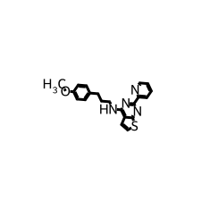 COc1ccc(CCCNc2nc(-c3ccccn3)nc3sccc23)cc1